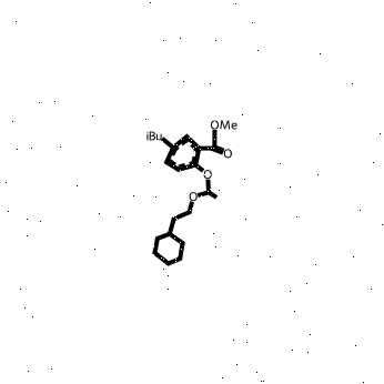 CCC(C)c1ccc(OC(C)OCCC2CCCCC2)c(C(=O)OC)c1